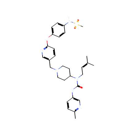 CC(C)=CCN(C(=O)Nc1ccc(C)nc1)C1CCN(Cc2ccc(Oc3ccc(NS(C)(=O)=O)cc3)nc2)CC1